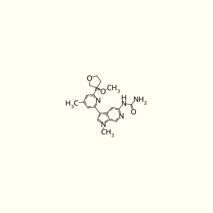 CO[C@]1(c2cc(C)cc(-c3cn(C)c4cnc(NC(N)=O)cc34)n2)CCOC1